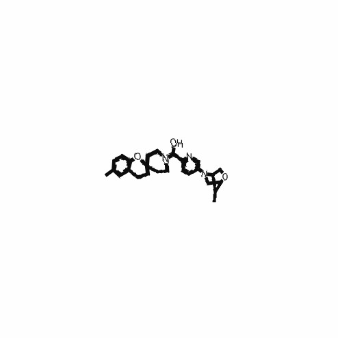 Cc1ccc2c(c1)CCC1(CCN(C(O)c3ccc(N4CC56C(C)C5OCC46)cn3)CC1)O2